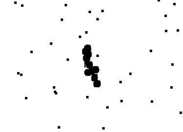 c1ccc(-c2ccc(-c3c4ccccc4c(-c4ccc(-c5ccc6c(c5)oc5c7ccccc7ccc65)nc4)c4ccccc34)cc2)cc1